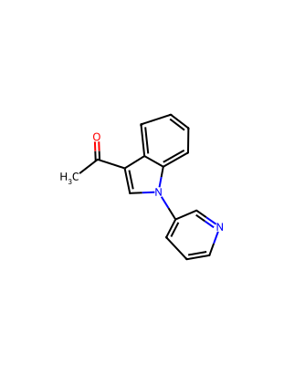 CC(=O)c1cn(-c2cccnc2)c2ccccc12